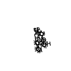 C[C@@]1([C@@H](NC(=O)c2cccc(C(F)(F)F)c2Cl)c2cccc(-c3ccccn3)c2)CCCCN1